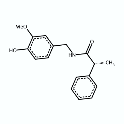 COc1cc(CNC(=O)[C@H](C)c2ccccc2)ccc1O